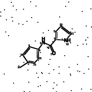 [CH2]c1ccc(NC(=O)c2ccc[nH]2)cc1